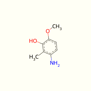 COc1ccc(N)c(C)c1O